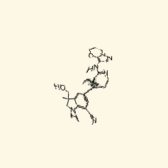 C[C@]1(CO)CNc2c(C#N)cc(-c3ccnc(Nc4cnn5c4OCCC5)n3)cc21